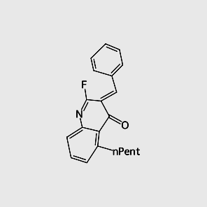 CCCCCc1cccc2c1C(=O)C(=Cc1ccccc1)C(F)=N2